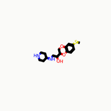 CSc1ccc2c(c1)OCC(C(O)CNC1CCNCC1)O2